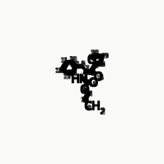 C=CCOC(=O)N[C@@H](Cc1ccccc1)C(=O)c1ccco1